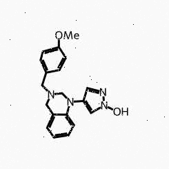 COc1ccc(CN2Cc3ccccc3N(c3cnn(O)c3)C2)cc1